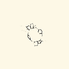 COc1cc2c3c(O)c1OCc1ccc(cc1)C[C@@H]1c4c(cc(OC)c(OC)c4Oc4ccc(cc4)CC3=NCC2)CCN1C